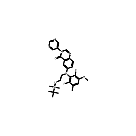 COc1cc(C)c(F)c(N(CCO[Si](C)(C)C(C)(C)C)c2ccc3ncn(-c4cncnc4)c(=O)c3c2)c1F